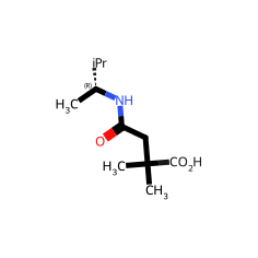 CC(C)[C@@H](C)NC(=O)CC(C)(C)C(=O)O